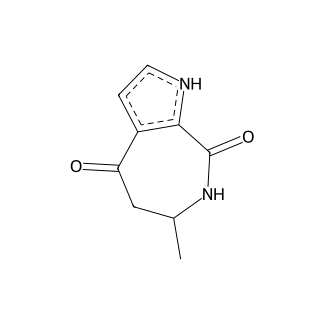 CC1CC(=O)c2cc[nH]c2C(=O)N1